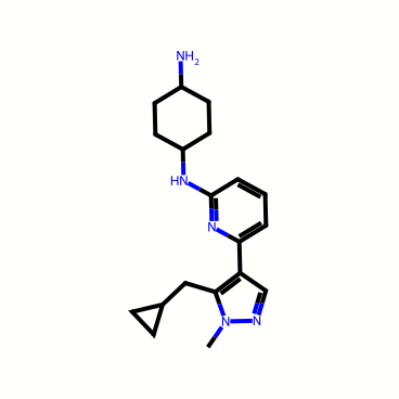 Cn1ncc(-c2cccc(NC3CCC(N)CC3)n2)c1CC1CC1